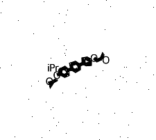 CC(C)c1cc(C2C=CC(c3ccc(OCC4CO4)cc3)C=C2)ccc1OCC1CO1